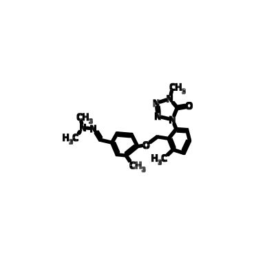 Cc1cc(C=NN(C)C)ccc1OCc1c(C)cccc1-n1nnn(C)c1=O